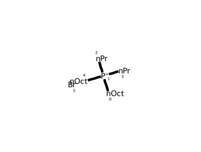 CCCCCCCC[P+](CCC)(CCC)CCCCCCCC.[Br-]